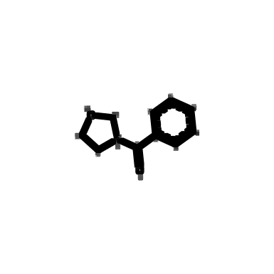 O=C(c1cc[c]cc1)N1CCOC1